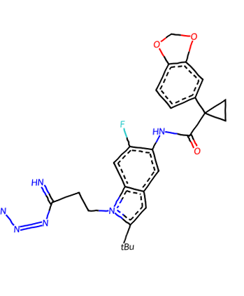 CC(C)(C)c1cc2cc(NC(=O)C3(c4ccc5c(c4)OCO5)CC3)c(F)cc2n1CCC(=N)/N=N\N